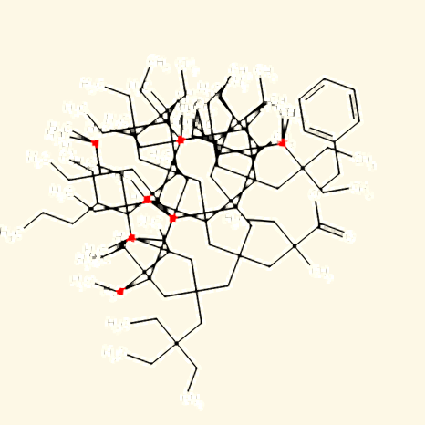 CCCC(CC)CC(CC(CC)(CC)CC)(CC(CC)(CC)CC)CC(CC(CC(CC)(CC)CC)(CC(CC)(CC)CC)CC(CC)(CC)CC)(CC(CC(CC)(CC)CC)(CC(CC)(CC)CC)CC(CC)(CC)CC)CC(CC(CC(CC)(CC)CC)(CC(CC)(CC)CC)CC(CC)(CC)CC)(CC(CC(CC)(CC)CC)(CC(CC)(CC)CC)CC(CC)(CC)CC)CC(C)(CC)C(=O)OCc1ccccc1